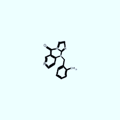 Cc1ccccc1CN1C2=NCCN2C(=O)c2cnccc21